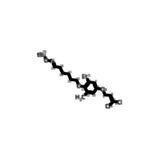 CCc1cc(OCC=C(Cl)Cl)cc(C)c1OCCCCC/C=N/OC(C)(C)C